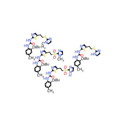 Cc1ccc(NC(=O)Nc2ncc(CCS(=O)(=O)c3ncc[nH]3)s2)c(OCC(C)C)c1.Cc1ccc(NC(=O)Nc2ncc(CCS(=O)(=O)c3nccn3C)s2)c(OCC(C)C)c1.Cc1ccc(NC(=O)Nc2ncc(CCSc3ncc[nH]3)s2)c(OCC(C)C)c1.Cc1ccc(NC(=O)Nc2ncc(CCSc3nccn3C)s2)c(OCC(C)C)c1